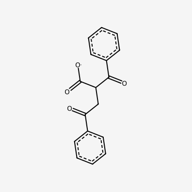 [O]C(=O)C(CC(=O)c1ccccc1)C(=O)c1ccccc1